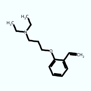 C=Cc1ccccc1OCCCN(CC)CC